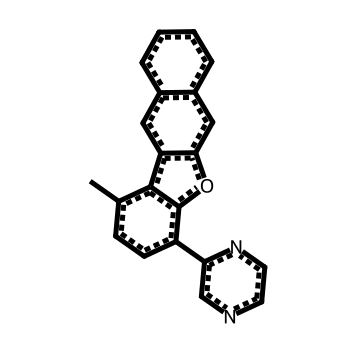 Cc1ccc(-c2cnccn2)c2oc3cc4ccccc4cc3c12